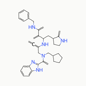 C=C=C(CN(CC1CCCC1)C(=C)c1nc2ccccc2[nH]1)NC(CC1CCNC1=C)C(=C)C(=C)NCc1ccccc1